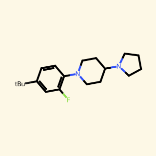 CC(C)(C)c1ccc(N2CCC(N3CCCC3)CC2)c(F)c1